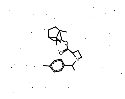 Cc1ccc(C(C)N2CCC2C(=O)OC2CC3CCC2(C)C3(C)C)cc1